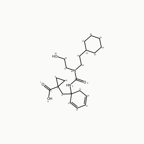 O=C(NC1(CC2(C(=O)O)CC2)C=CC=CC1)N(CCO)CCC1CCCCC1